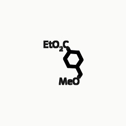 CCOC(=O)C1CCC(COC)CC1